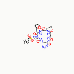 CS(=O)(=O)CCC1NC(=O)C(Cc2ccco2)NC(=O)C(CC2CC2)NC(=O)C=CC(=O)NC(C(N)=O)CCNC1=O